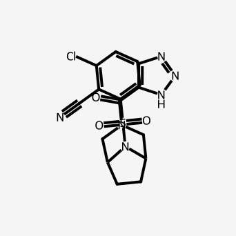 N#Cc1c(Cl)cccc1S(=O)(=O)N1C2CCC1CN(C(=O)c1cnn[nH]1)C2